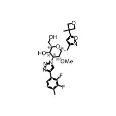 CO[C@@H]1[C@@H](n2cc(-c3ccc(C)c(F)c3F)nn2)[C@@H](O)[C@@H](CO)O[C@@H]1Cc1cc(C2(C)COC2)on1